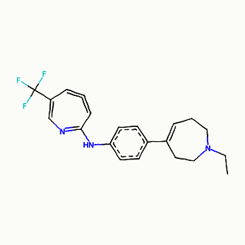 CCN1CCC=C(c2ccc(NC3=NC=C(C(F)(F)F)C=C=C3)cc2)CC1